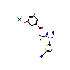 CC(NC(=O)c1cc(Cl)cc(OC(F)(F)F)c1)c1ncnn1-c1ncc(C#N)s1